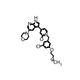 COCCOc1cc(Cl)cc(Cn2ccc(-c3c[nH]c4ncc(N5CCOCC5)cc34)cc2=O)c1